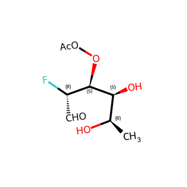 CC(=O)OO[C@@H]([C@@H](O)[C@@H](C)O)[C@@H](F)C=O